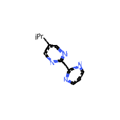 CC(C)c1cnc(-c2ncccn2)nc1